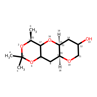 C[C@@H]1OC(C)(C)OC2C[C@@H]3OCC(O)C[C@@H]3OC21